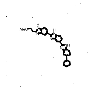 COCCc1nc2cc(-c3nc4cc(-c5nc6cc(-c7ccccc7)ccc6[nH]5)ccc4[nH]3)ccc2[nH]1